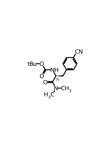 CN(C)C(=O)[C@H](Cc1ccc(C#N)cc1)NC(=O)OC(C)(C)C